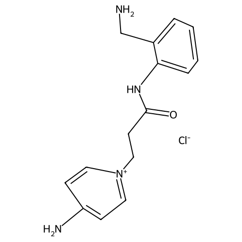 NCc1ccccc1NC(=O)CC[n+]1ccc(N)cc1.[Cl-]